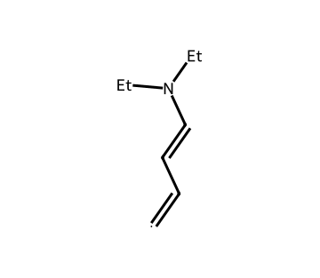 [CH]=CC=CN(CC)CC